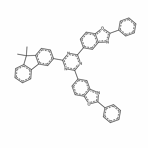 CC1(C)c2ccccc2-c2cc(-c3nc(-c4ccc5oc(-c6ccccc6)nc5c4)nc(-c4ccc5oc(-c6ccccc6)nc5c4)n3)ccc21